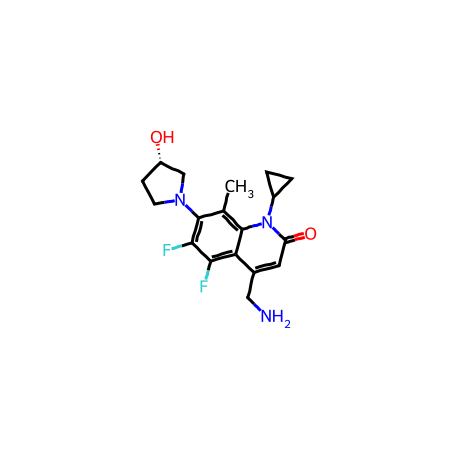 Cc1c(N2CC[C@H](O)C2)c(F)c(F)c2c(CN)cc(=O)n(C3CC3)c12